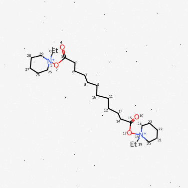 CC[N+]1(OC(=O)CCCCCCCCCCC(=O)O[N+]2(CC)CCCCC2)CCCCC1